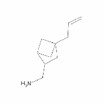 C=CCC12CC(CN)C(C1)C2